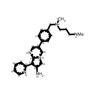 CNCCCN(C)Cc1ccc(-c2cnc3c(-c4ccccn4)c(N)cn3c2)cc1